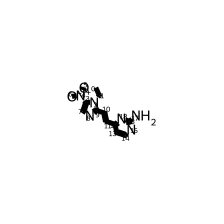 CCn1c([N+](=O)[O-])cnc1/C=C/c1ccnc(N)n1